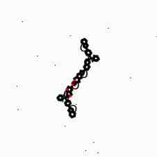 c1ccc(N(c2ccc(-c3cc4ccccc4o3)cc2)c2ccc3cc(-c4cc5cc6cc7cc(-c8ccc9cc(N(c%10ccccc%10)c%10ccc(-c%11cc%12ccccc%12o%11)cc%10)ccc9c8)oc7cc6cc5o4)ccc3c2)cc1